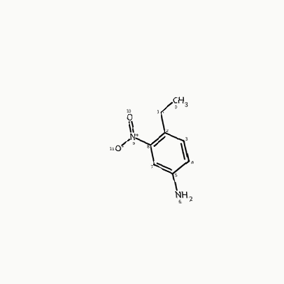 C[CH]c1ccc(N)cc1[N+](=O)[O-]